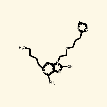 CCCCCc1cc2c(nc(O)n2CCOCCCc2nccs2)c(N)n1